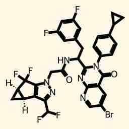 O=C(Cn1nc(C(F)F)c2c1C(F)(F)[C@@H]1C[C@H]21)NC(Cc1cc(F)cc(F)c1)c1nc2ncc(Br)cc2c(=O)n1-c1ccc(C2CC2)cc1